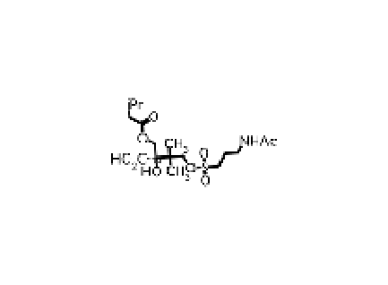 CC(=O)NCCCS(=O)(=O)OCC(C)(C)[C@@](O)(COC(=O)CC(C)C)C(=O)O